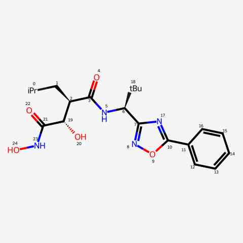 CC(C)C[C@@H](C(=O)N[C@H](c1noc(-c2ccccc2)n1)C(C)(C)C)[C@H](O)C(=O)NO